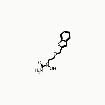 NC(=O)N(O)CCOCc1cc2ccccc2s1